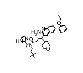 CCOc1ccccc1-c1ccc2nc(N)c(C(CCC(=O)N(CCC(C)(C)C)C(C)c3ncc[nH]3)C3CCOCC3)cc2c1